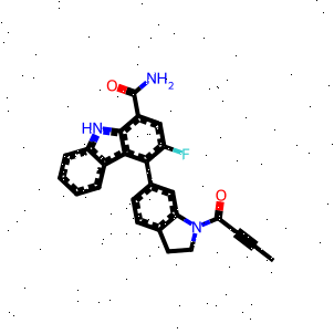 CC#CC(=O)N1CCc2ccc(-c3c(F)cc(C(N)=O)c4[nH]c5ccccc5c34)cc21